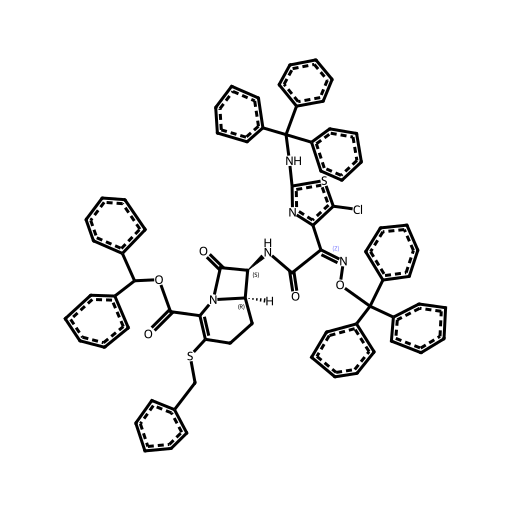 O=C(OC(c1ccccc1)c1ccccc1)C1=C(SCc2ccccc2)CC[C@@H]2[C@H](NC(=O)/C(=N\OC(c3ccccc3)(c3ccccc3)c3ccccc3)c3nc(NC(c4ccccc4)(c4ccccc4)c4ccccc4)sc3Cl)C(=O)N12